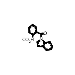 O=C(O)c1ccccc1C(=O)n1ccc2ccccc21